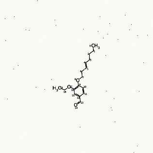 CCCCC=CCCOc1ccc(C=O)cc1OCC